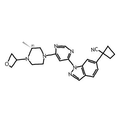 C[C@@H]1CN(c2cc(-n3ncc4ccc(C5(C#N)CCC5)cc43)ncn2)CCN1C1COC1